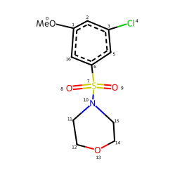 COc1cc(Cl)cc(S(=O)(=O)N2CCOCC2)c1